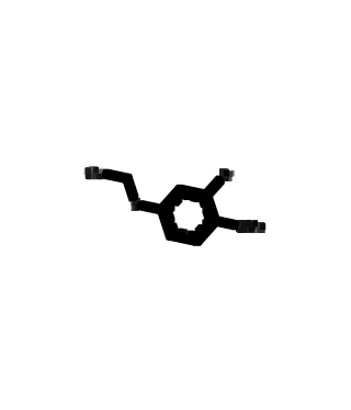 COc1ccc(SCC(C)(C)C)cc1Br